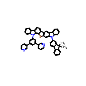 CC1(C)c2ccccc2-c2ccc(-n3c4ccccc4c4cc5c(cc43)sc3c5ccc4c5ccccc5n(-c5cc(-c6cccnc6)cc(-c6cccnc6)c5)c43)cc21